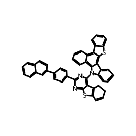 C1=Cc2sc3nc(-c4ccc(-c5ccc6ccccc6c5)cc4)nc(-n4c5ccccc5c5c6sc7ccccc7c6c6ccccc6c54)c3c2CC1